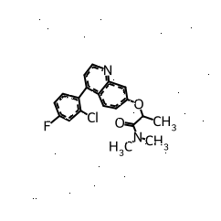 CC(Oc1ccc2c(-c3ccc(F)cc3Cl)ccnc2c1)C(=O)N(C)C